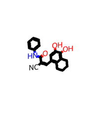 N#C/C(=C/c1cc(O)c(O)c2c1CCCC2)C(=O)Nc1ccccc1